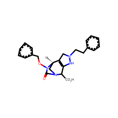 O=C(O)C1C2=C(CN(CCc3ccccc3)N2)[C@H]2CN1C(=O)N2OCc1ccccc1